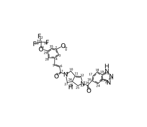 COc1cc(C=CC(=O)N2CC3=CN(C(=O)c4ccc5[nH]nnc5c4)C[C@H]3C2)cc(OC(F)(F)F)c1